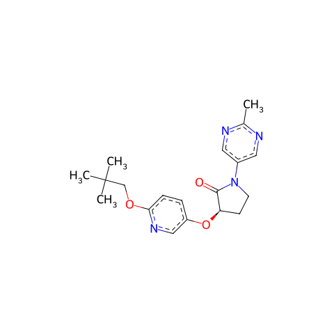 Cc1ncc(N2CC[C@@H](Oc3ccc(OCC(C)(C)C)nc3)C2=O)cn1